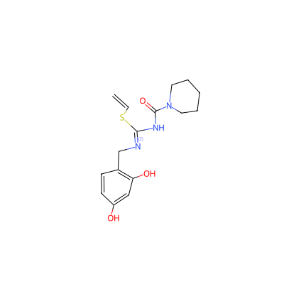 C=CS/C(=N\Cc1ccc(O)cc1O)NC(=O)N1CCCCC1